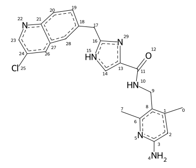 Cc1cc(N)nc(C)c1CNC(=O)c1c[nH]c(Cc2ccc3ncc(Cl)cc3c2)n1